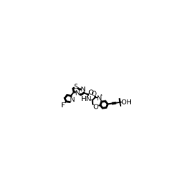 CN1C(=O)[C@@H](NC(=O)c2cn3c(-c4ccc(F)cn4)csc3n2)COc2ccc(C#CC(C)(C)O)cc21